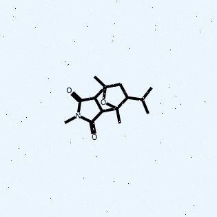 CC(C)C1CC2(C)OC1(C)C1C(=O)N(C)C(=O)C12